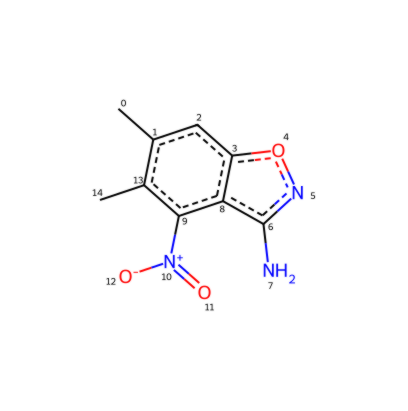 Cc1cc2onc(N)c2c([N+](=O)[O-])c1C